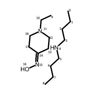 CCCCNCCCC.CCN1CCC(=NO)CC1